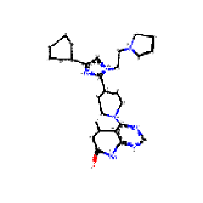 CC1CC(=O)Nc2ncnc(N3CCC(c4nc(C5CCCCC5)cn4CCN4CCCC4)CC3)c21